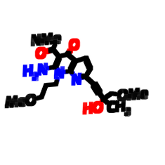 CNC(=O)c1c(N)n(CCCOC)c2nc(C#CC(C)(O)COC)ccc2c1=O